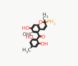 Cc1cc(O)c(C(=O)c2c(C=O)c(O)cc3c2C=CC(C)(P)O3)c(O)c1